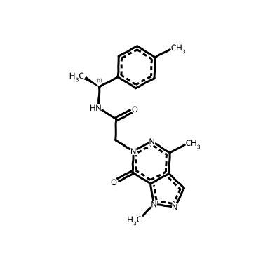 Cc1ccc([C@H](C)NC(=O)Cn2nc(C)c3cnn(C)c3c2=O)cc1